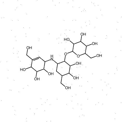 OCC1=CC(NC2CC(CO)C(O)C(O)C2OC2OC(CO)C(O)C(O)C2O)C(O)C(O)C1O